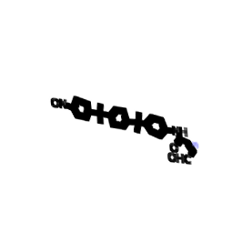 CC(C)(c1ccc(N=O)cc1)c1ccc(C(C)(C)c2ccc(NC(=O)/C=C\C=O)cc2)cc1